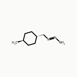 C[C@H]1CC[C@H](CN=NN)CC1